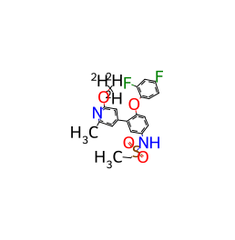 [2H]C([2H])([2H])Oc1cc(-c2cc(NS(=O)(=O)CC)ccc2Oc2ccc(F)cc2F)cc(C)n1